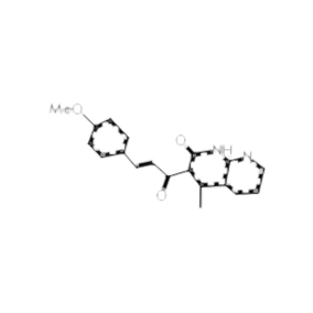 COc1ccc(C=CC(=O)c2c(C)c3cccnc3[nH]c2=O)cc1